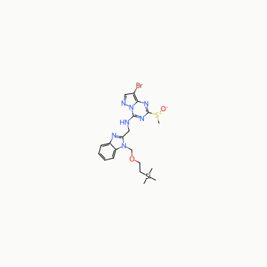 C[S+]([O-])c1nc(NCc2nc3ccccc3n2COCC[Si](C)(C)C)n2ncc(Br)c2n1